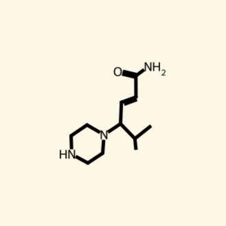 CC(C)C(C=CC(N)=O)N1CCNCC1